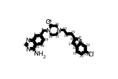 Nc1ncnc2cc(CN3CCN(CC=Cc4cc5ccc(Cl)cc5s4)CC3=O)ccc12